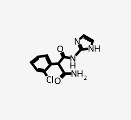 NC(=O)C(C(=O)Nc1ncc[nH]1)c1ccccc1Cl